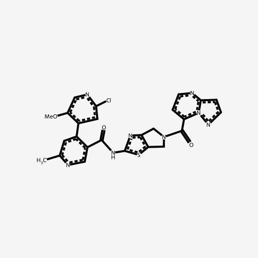 COc1cnc(Cl)cc1-c1cc(C)ncc1C(=O)Nc1nc2c(s1)CN(C(=O)c1ccnc3ccnn13)C2